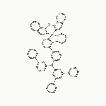 c1ccc(-c2cccc(N(c3cc(-c4ccccc4)cc(-c4ccccc4)c3)c3cccc(-c4cccc5c4-c4ccccc4C54c5ccc6ccccc6c5Oc5c4ccc4ccccc54)c3)c2)cc1